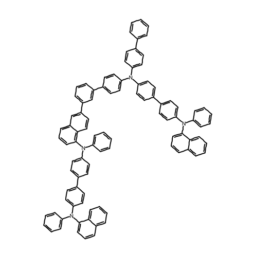 c1ccc(-c2ccc(N(c3ccc(-c4ccc(N(c5ccccc5)c5cccc6ccccc56)cc4)cc3)c3ccc(-c4cccc(-c5ccc6c(N(c7ccccc7)c7ccc(-c8ccc(N(c9ccccc9)c9cccc%10ccccc9%10)cc8)cc7)cccc6c5)c4)cc3)cc2)cc1